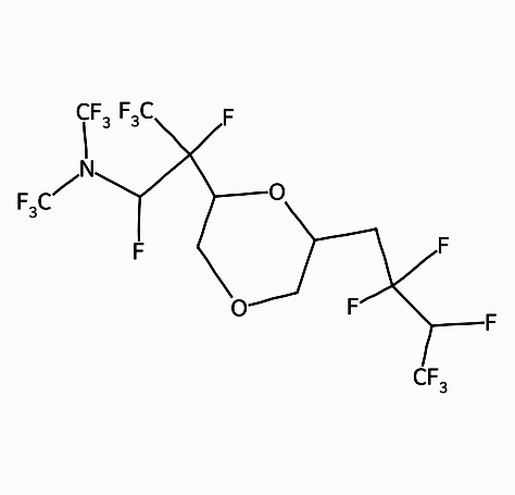 FC(C(F)(F)F)C(F)(F)CC1COCC(C(F)(C(F)N(C(F)(F)F)C(F)(F)F)C(F)(F)F)O1